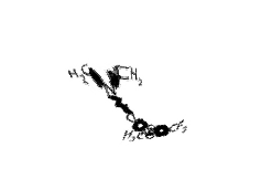 C=CCN(CC=C)CCCCCCOC1CCC(N(C)S(=O)(=O)c2ccc(C(F)(F)F)cc2)CC1